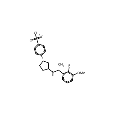 COc1cccc([C@@H](C)NC2CC[C@H](c3ccc(S(C)(=O)=O)cc3)C2)c1F